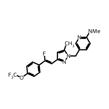 CNc1ccc(Cn2nc(/C=C(\F)c3ccc(OC(F)(F)F)cc3)cc2C)cn1